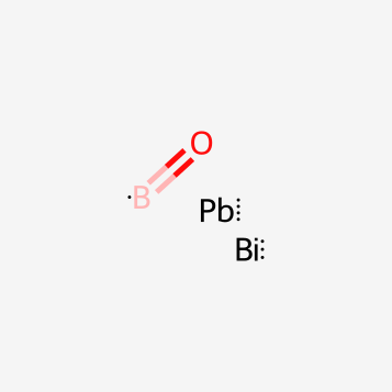 [B]=O.[Bi].[Pb]